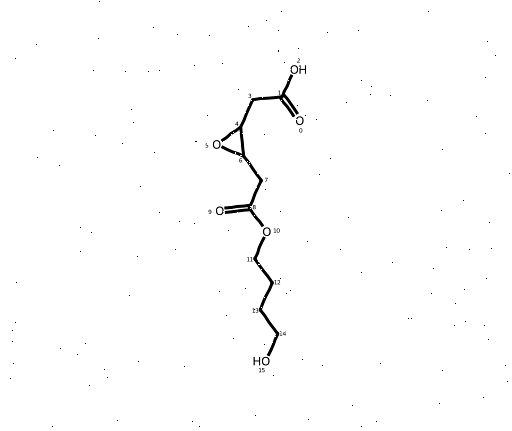 O=C(O)CC1OC1CC(=O)OCCCCO